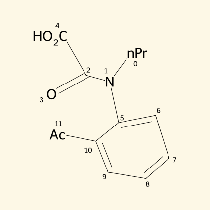 CCCN(C(=O)C(=O)O)c1ccccc1C(C)=O